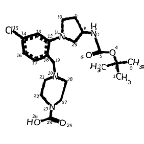 CC(C)(C)OC(=O)NC1CCN(c2cc(Cl)ccc2CN2CCN(C(=O)O)CC2)C1